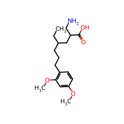 CCC(CCCc1ccc(OC)cc1OC)CC(CN)C(=O)O